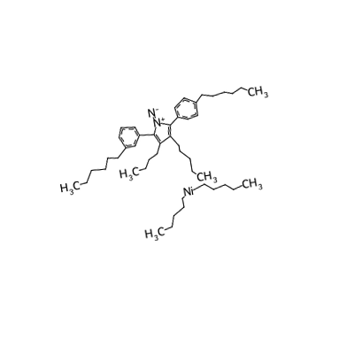 CCCCCCc1ccc(C2=C(CCCCC)C(CCCC)=C(c3cccc(CCCCCC)c3)[N+]2=[N-])cc1.CCCC[CH2][Ni][CH2]CCCC